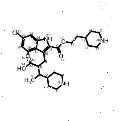 CC(C1CCNCC1)C(Cc1c(C(=O)OCCC2CCNCC2)[nH]c2cc(Cl)cc(Cl)c12)C(=O)O